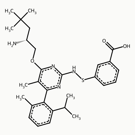 Cc1cccc(C(C)C)c1-c1nc(NSc2cccc(C(=O)O)c2)nc(OC[C@H](N)CC(C)(C)C)c1C